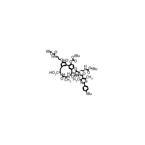 Cc1nc(-c2ccc(C(C)(C)C)cc2)nc(C)c1C(=O)N[C@@H](CCNC(=O)OC(C)(C)C)C(=O)N(C)[C@@H]1C(=O)N[C@@H](C)C(=O)N[C@H](C(=O)O)Cc2cc(OCCNC(=O)OC(C)(C)C)c(O)c(c2)-c2cc1ccc2OC(=O)OC(C)(C)C